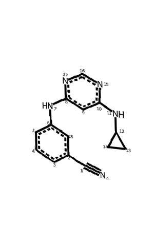 N#Cc1cccc(Nc2cc(NC3CC3)ncn2)c1